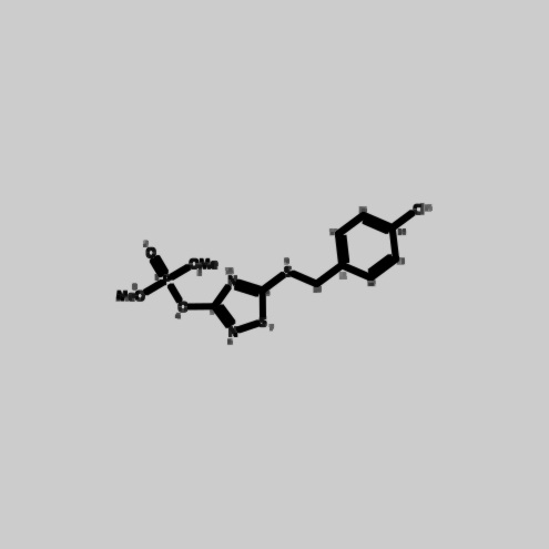 COP(=O)(OC)Oc1nsc(SCc2ccc(Cl)cc2)n1